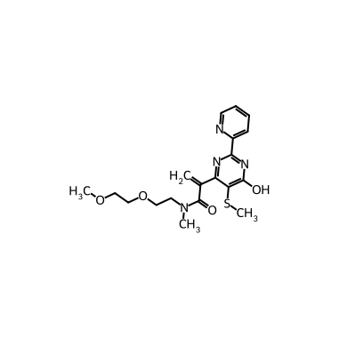 C=C(C(=O)N(C)CCOCCOC)c1nc(-c2ccccn2)nc(O)c1SC